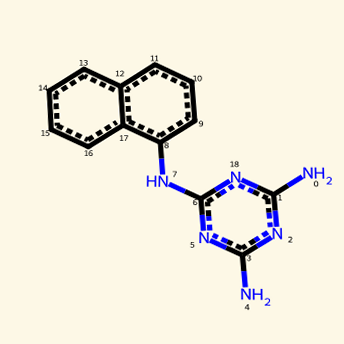 Nc1nc(N)nc(Nc2cccc3ccccc23)n1